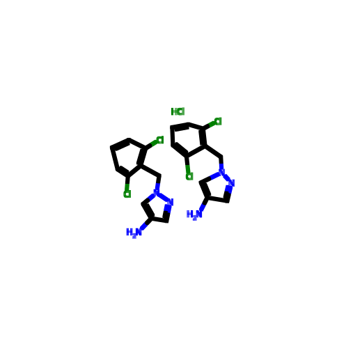 Cl.Nc1cnn(Cc2c(Cl)cccc2Cl)c1.Nc1cnn(Cc2c(Cl)cccc2Cl)c1